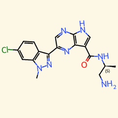 C[C@@H](CN)NC(=O)c1c[nH]c2ncc(-c3nn(C)c4cc(Cl)ccc34)nc12